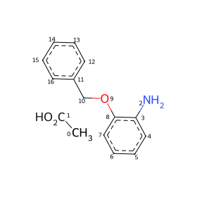 CC(=O)O.Nc1ccccc1OCc1ccccc1